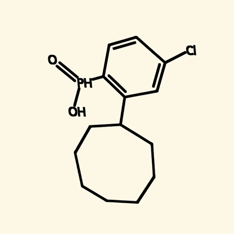 O=[PH](O)c1ccc(Cl)cc1C1CCCCCCC1